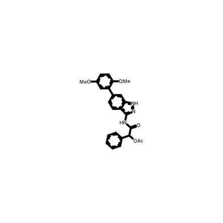 COc1ccc(OC)c(-c2ccc3c(NC(=O)C(OC(C)=O)c4ccccc4)n[nH]c3c2)c1